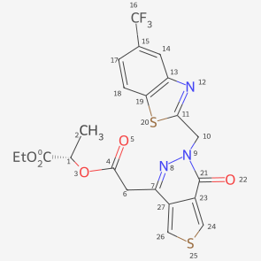 CCOC(=O)[C@H](C)OC(=O)Cc1nn(Cc2nc3cc(C(F)(F)F)ccc3s2)c(=O)c2cscc12